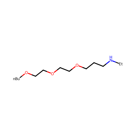 CCCCOCCOCCOCCCNCC